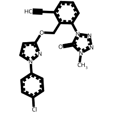 C#Cc1cccc(-n2nnn(C)c2=O)c1COc1ccn(-c2ccc(Cl)cc2)n1